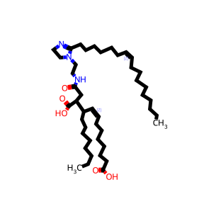 CCCCCCCCC/C=C\CCCCCCC1=NCCN1CCNC(=O)CC(C(=O)O)C(/C=C\CCCCCCC(=O)O)CCCCCCCC